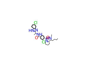 CCCCC(NCC)C1CCCCN1C(=O)c1ccc(C(=O)NC(C)c2nc3cc(Cl)ccc3[nH]2)cc1Cl